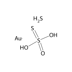 O=S(O)(O)=S.S.[Au]